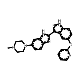 CN1CCN(c2ccc3nc(-c4n[nH]c5ccc(Oc6ccccn6)cc45)[nH]c3c2)CC1